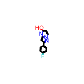 Oc1ccn2nc(-c3ccc(F)cc3)cc2n1